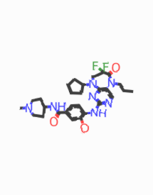 CCCN1C(=O)C(F)(F)CN(C2CCCC2)c2nc(Nc3ccc(C(=O)NC4CCN(C)CC4)cc3OC)ncc21